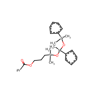 CC(C)C(=O)OCCC[Si](C)(C)O[Si](C)(O[Si](C)(C)c1ccccc1)c1ccccc1